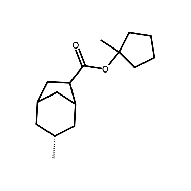 C[C@@H]1CC2CC(C1)C(C(=O)OC1(C)CCCC1)C2